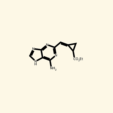 CCOC(=O)C1CC1=Cc1nc(N)c2[nH]cnc2n1